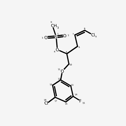 CS(=O)(=O)OC(C/C=C\Cl)COc1cc(F)cc(Cl)c1